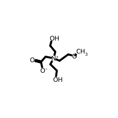 COCC[N+](CCO)(CCO)CC(=O)[O-]